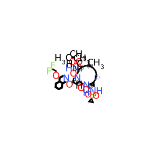 C[C@@H]1CC/C=C\C2C[C@@]2(C(=O)NS(=O)(=O)C2CC2)NC(=O)[C@@H]2C[C@@H](Oc3ncc(OCC(F)F)c4ccccc34)CN2C(=O)[C@@H](NC(=O)OC(C)(C)C)[C@H](C)C1